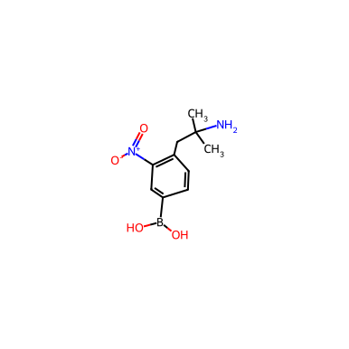 CC(C)(N)Cc1ccc(B(O)O)cc1[N+](=O)[O-]